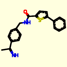 CC(=N)c1ccc(CNC(=O)c2ccc(-c3ccccc3)s2)cc1